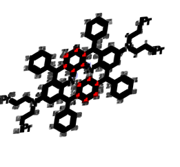 CC(C)CCN(CCC(C)C)c1cc(C(c2ccccc2)c2ccccc2)c(/N=C/C=N/c2c(C(c3ccccc3)c3ccccc3)cc(N(CCC(C)C)CCC(C)C)cc2C(c2ccccc2)c2ccccc2)c(C(c2ccccc2)c2ccccc2)c1